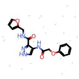 O=C(COc1ccccc1)Nc1c[nH]nc1C(=O)NCc1ccco1